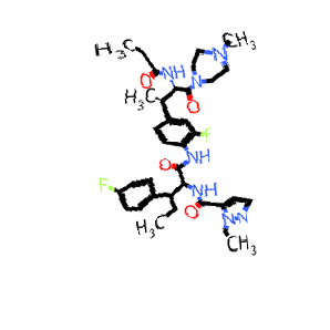 CCC(=O)N[C@@H](C(=O)N1CCN(C)CC1)[C@@H](C)c1ccc(NC(=O)C(NC(=O)c2ccnn2CC)C(CC)c2ccc(F)cc2)c(F)c1